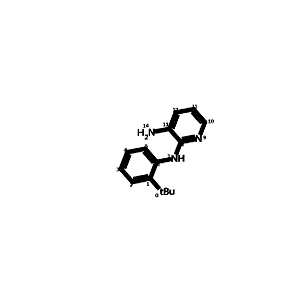 CC(C)(C)c1ccccc1Nc1ncccc1N